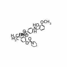 COc1cccc(CNc2ccc(S(=O)(=O)Nc3cc(OC(=O)N4CCCCC4)ccc3C(C)(C)C)cc2)c1O